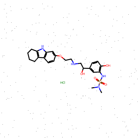 CN(C)S(=O)(=O)Nc1cc(C(O)CNCCOc2ccc3c4c([nH]c3c2)CCCC4)ccc1O.Cl